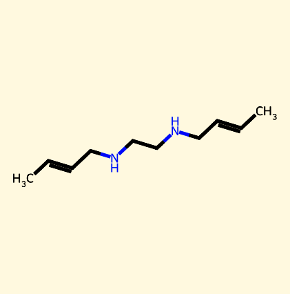 CC=CCNCCNCC=CC